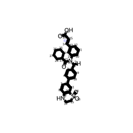 [2H]C(c1ccc(-c2ccc3c(c2)S(=O)(=O)CCN3)cc1)N(C(=O)C1CCCCC1)c1cccc(/C=C/C(=O)O)c1